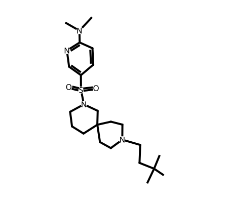 CN(C)c1ccc(S(=O)(=O)N2CCCC3(CCN(CCC(C)(C)C)CC3)C2)cn1